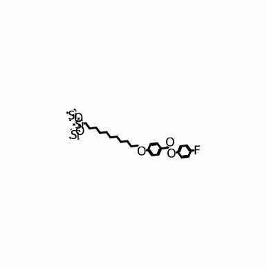 C[Si](C)(C)O[Si](C)(CCCCCCCCCCCOc1ccc(C(=O)Oc2ccc(F)cc2)cc1)O[Si](C)(C)C